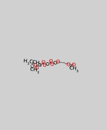 CCC1(COCCCCCCOc2ccc(OC(=O)c3ccc(OC(=O)c4ccc(C(=O)OC5CC(C)CCC5C(C)C)cc4)cc3)cc2)COC1